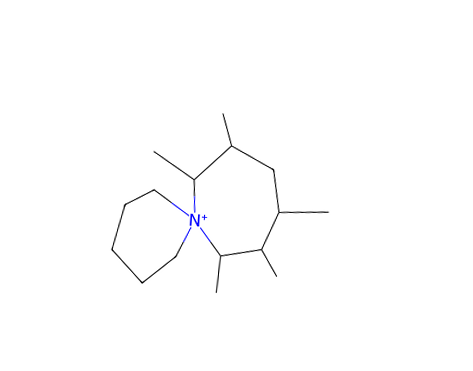 CC1CC(C)C(C)[N+]2(CCCCC2)C(C)C1C